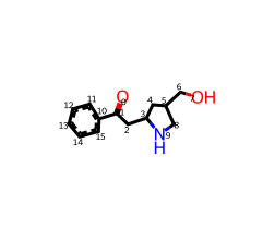 O=C(CC1CC(CO)CN1)c1ccccc1